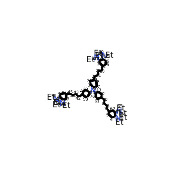 CCN(CC)c1ccc(CCCCc2ccc(N(c3ccc(CCCCc4ccc(N(CC)CC)c(N(CC)CC)c4)cc3)c3ccc(CCCCc4ccc(N(CC)CC)c(N(CC)CC)c4)cc3)cc2)cc1N(CC)CC